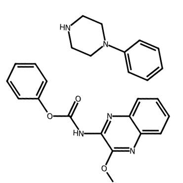 COc1nc2ccccc2nc1NC(=O)Oc1ccccc1.c1ccc(N2CCNCC2)cc1